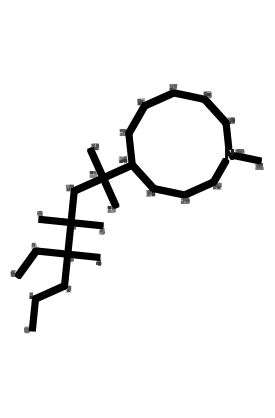 CCCC(C)(CC)C(C)(C)CC(C)(C)C1CCCCCN(C)CCC1